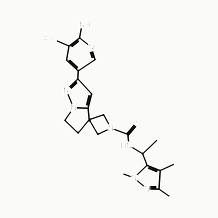 Cc1nn(C)c(C(C)NC(=O)N2CC3(CCn4nc(-c5cnc(N)c(C(F)(F)F)c5)cc43)C2)c1C